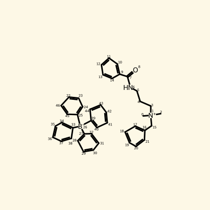 C[N+](C)(CCCNC(=O)c1ccccc1)Cc1ccccc1.c1ccc([B-](c2ccccc2)(c2ccccc2)c2ccccc2)cc1